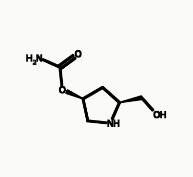 NC(=O)O[C@@H]1CN[C@H](CO)C1